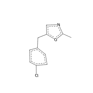 Cc1ncc(Cc2ccc(Cl)cc2)o1